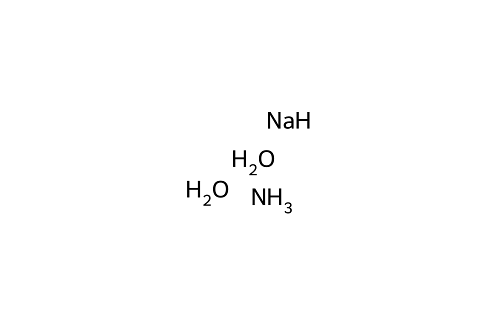 N.O.O.[NaH]